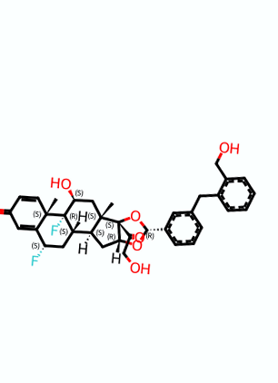 C[C@]12C=CC(=O)C=C1[C@@H](F)C[C@H]1[C@@H]3C[C@H]4O[C@@H](c5cccc(Cc6ccccc6CO)c5)O[C@@]4(C(=O)CO)[C@@]3(C)C[C@H](O)[C@@]12F